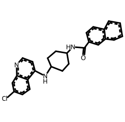 O=C(NC1CCC(Nc2ccnc3cc(Cl)ccc23)CC1)c1ccc2ccccc2c1